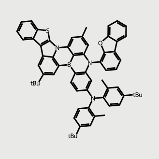 Cc1cc2c3c(c1)-n1c4sc5ccccc5c4c4cc(C(C)(C)C)cc(c41)B3c1ccc(N(c3ccc(C(C)(C)C)cc3C)c3ccc(C(C)(C)C)cc3C)cc1N2c1cccc2c1oc1ccccc12